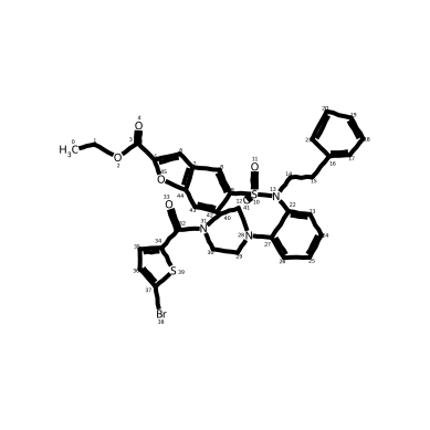 CCOC(=O)c1cc2cc(S(=O)(=O)N(CCc3ccccc3)c3ccccc3N3CCN(C(=O)c4ccc(Br)s4)CC3)ccc2o1